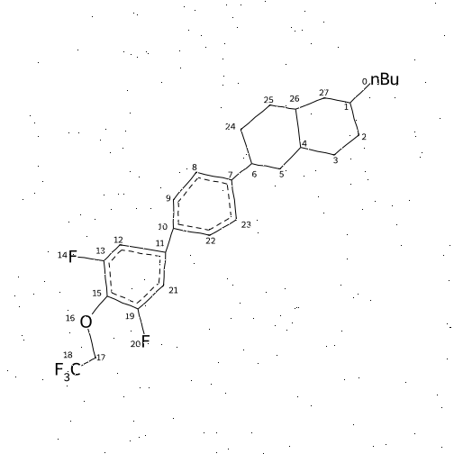 CCCCC1CCC2CC(c3ccc(-c4cc(F)c(OCC(F)(F)F)c(F)c4)cc3)CCC2C1